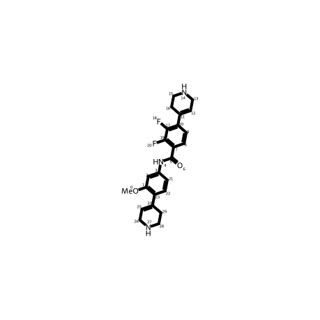 COc1cc(NC(=O)c2ccc(C3=CCNCC3)c(F)c2F)ccc1C1=CCNCC1